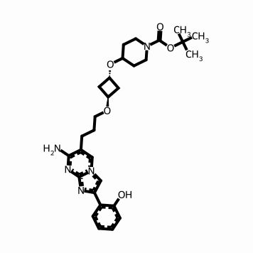 CC(C)(C)OC(=O)N1CCC(O[C@H]2C[C@H](OCCCc3cn4cc(-c5ccccc5O)nc4nc3N)C2)CC1